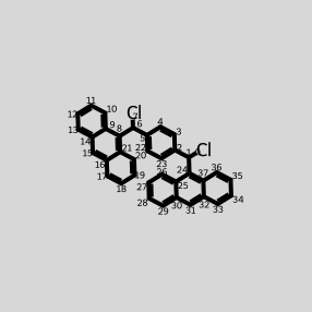 ClC(c1ccc(C(Cl)c2c3ccccc3cc3ccccc23)cc1)c1c2ccccc2cc2ccccc12